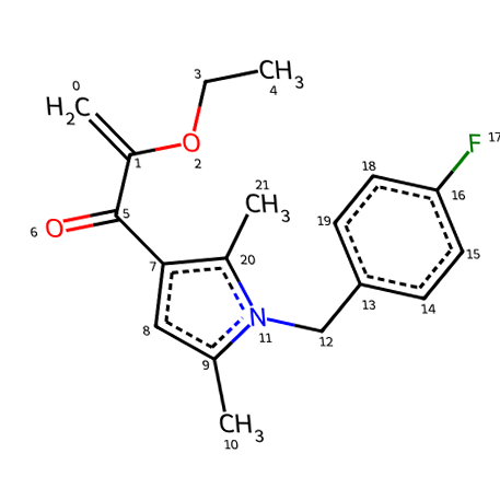 C=C(OCC)C(=O)c1cc(C)n(Cc2ccc(F)cc2)c1C